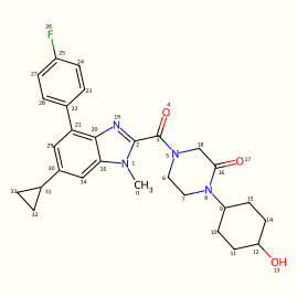 Cn1c(C(=O)N2CCN(C3CCC(O)CC3)C(=O)C2)nc2c(-c3ccc(F)cc3)cc(C3CC3)cc21